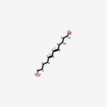 BrCCCC/C=C/C=C/CCCCBr